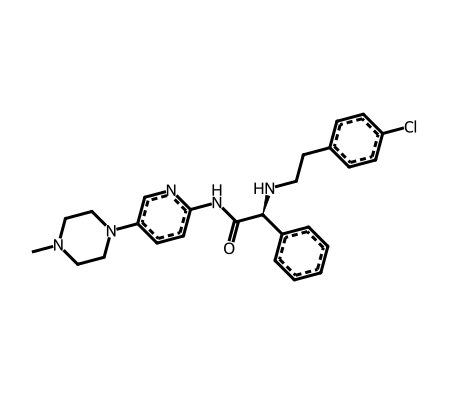 CN1CCN(c2ccc(NC(=O)[C@@H](NCCc3ccc(Cl)cc3)c3ccccc3)nc2)CC1